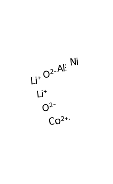 [Al].[Co+2].[Li+].[Li+].[Ni].[O-2].[O-2]